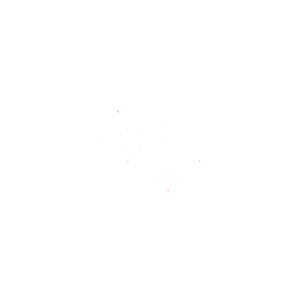 CCCOCCOCCO.O=C(O)CCCCC(=O)O.OCCOCCO